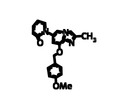 COc1ccc(COc2cc(-n3ccccc3=O)cn3cc(C)nc23)cc1